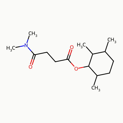 CC1CCC(C)C(OC(=O)CCC(=O)N(C)C)C1C